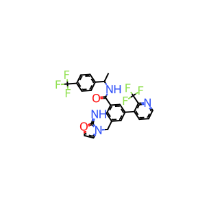 CC(NC(=O)c1cc(Cn2ccoc2=N)cc(-c2cccnc2C(F)(F)F)c1)c1ccc(C(F)(F)F)cc1